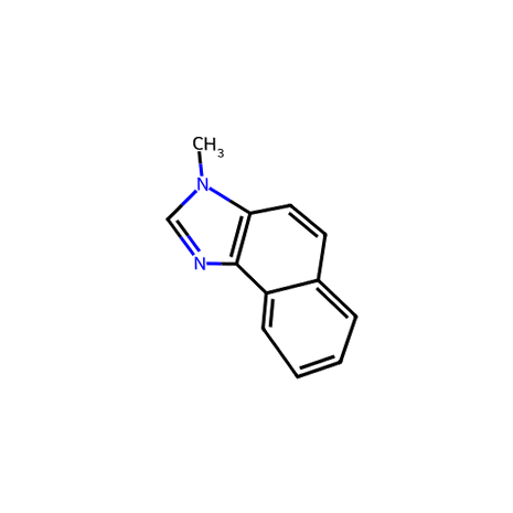 Cn1cnc2c3ccccc3ccc21